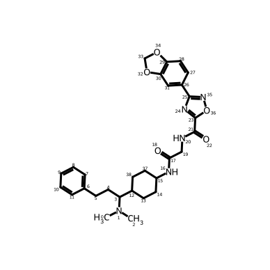 CN(C)C(CCc1ccccc1)C1CCC(NC(=O)CNC(=O)c2nc(-c3ccc4c(c3)OCO4)no2)CC1